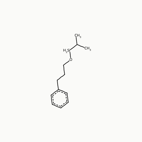 CC(C)[SiH2]OCCCc1ccccc1